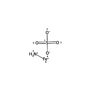 O=S(=O)([O-])[O-].[NH3+][Fe+]